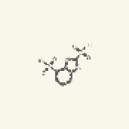 O=S(=O)(O)c1nc2c(S(=O)(=O)O)cccc2s1